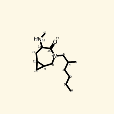 CCCCC(C)CN1CC2CC2CC(NC)C1=O